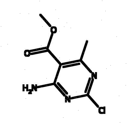 COC(=O)c1c(C)nc(Cl)nc1N